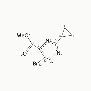 COC(=O)c1nc(C2CC2)ncc1Br